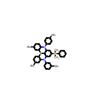 CC(C)(C)c1ccc(N2c3ccc(C(C)(C)C)cc3B3c4ccc(C(C)(C)C)cc4N(c4cccc(C(C)(C)C)c4)c4cc(S(C)(C)c5ccccc5)cc2c43)cc1